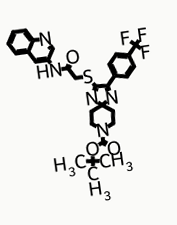 CC(C)(C)OC(=O)N1CCC2(CC1)N=C(SCC(=O)Nc1cnc3ccccc3c1)C(c1ccc(C(F)(F)F)cc1)=N2